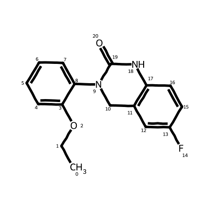 CCOc1ccccc1N1Cc2cc(F)ccc2NC1=O